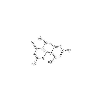 Cc1cc(=O)c2c(O)cc3cc(O)cc(C)c3c2o1